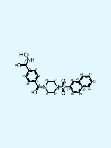 O=C(NO)c1ccc(C(=O)N2CCN(S(=O)(=O)c3ccc4ccccc4c3)CC2)cc1